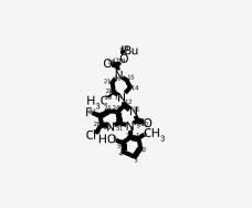 Cc1cccc(O)c1-n1c(=O)nc(N2CCN(C(=O)OC(C)(C)C)C[C@@H]2C)c2cc(F)c(Cl)nc21